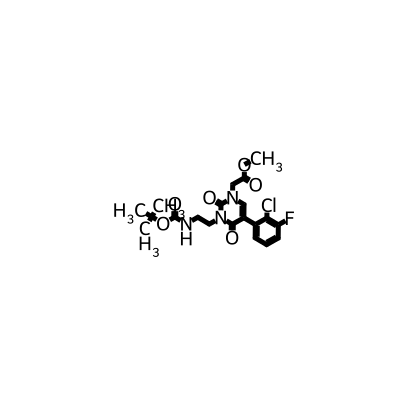 COC(=O)Cn1cc(-c2cccc(F)c2Cl)c(=O)n(CCNC(=O)OC(C)(C)C)c1=O